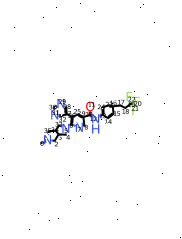 CN1CC2CN(c3ncc(C(=O)Nc4ccc(CCC(F)(F)F)cc4)cc3-c3cncnc3)CC2C1